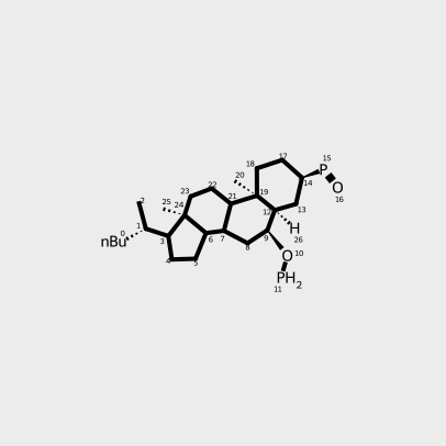 CCCC[C@H](C)C1CCC2C3C[C@H](OP)[C@@H]4C[C@H](P=O)CC[C@]4(C)C3CC[C@@]21C